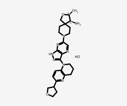 C[C@@H]1OCC2(CCN(c3cnc4c(N5CCCc6nc(C7CCOC7)ccc65)n[nH]c4n3)CC2)[C@@H]1N.Cl